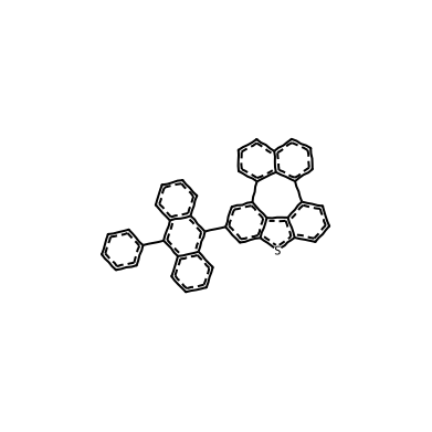 c1ccc(-c2c3ccccc3c(-c3cc4c5c(c3)sc3cccc(c35)-c3cccc5cccc-4c35)c3ccccc23)cc1